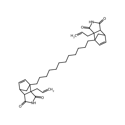 C=CCC12C(=O)NC(=O)C1C1C=CC2(CCCCCCCCCCCCC23C=CC(C2)C2C(=O)NC(=O)C23CC=C)C1